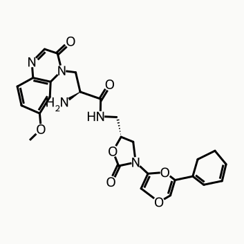 COc1ccc2ncc(=O)n(C[C@H](N)C(=O)NC[C@@H]3CN(C4=COC=C(C5=CC=CCC5)O4)C(=O)O3)c2c1